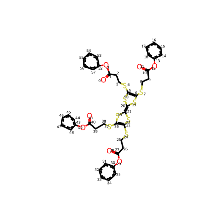 O=C(CCSC1=C(SCCC(=O)Oc2ccccc2)SC(=C2SC(SCCC(=O)Oc3ccccc3)=C(SCCC(=O)Oc3ccccc3)S2)S1)Oc1ccccc1